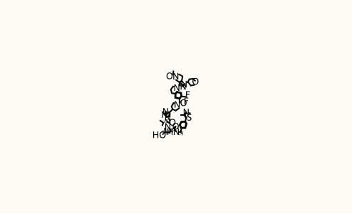 CC(=O)N1CCc2c(c(N3CCCc4cc(C(=O)N5CCC(c6cn([C@H](C(=O)N7C[C@H](O)C[C@H]7C(=O)N[C@@H](C)c7ccc(-c8scnc8C)cc7)C(C)C)nn6)CC5)c(C(F)F)cc43)nn2C2CCOCC2)C1